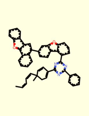 C/C=C\C=C/C1(C)C=CC(c2nc(-c3ccccc3)nc(-c3cccc4oc5cc(-c6cc7c8ccccc8oc7c7ccccc67)ccc5c34)n2)=CC1